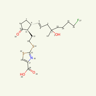 CC(O)(C/C=C/[C@H]1CCC(=O)[C@@H]1CCSc1nc(C(=O)O)cs1)CCCCF